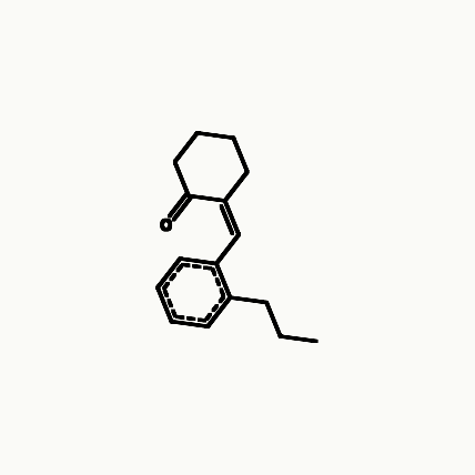 CCCc1ccccc1C=C1CCCCC1=O